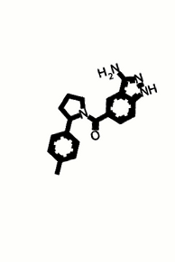 Cc1ccc(C2CCCN2C(=O)c2ccc3[nH]nc(N)c3c2)cc1